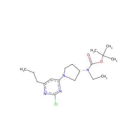 CCCc1cc(N2CC[C@H](N(CC)C(=O)OC(C)(C)C)C2)nc(Cl)n1